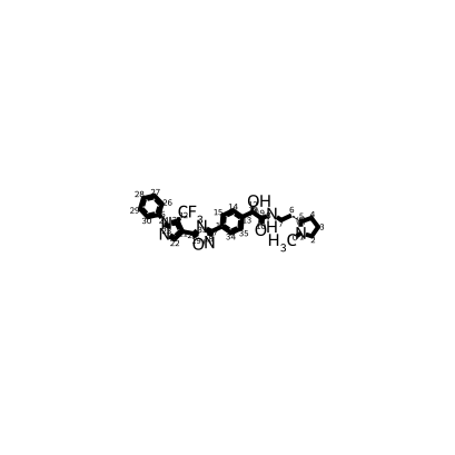 CN1CCC[C@H]1CCNC(=O)[C@H](O)c1ccc(-c2noc(-c3cnn(-c4ccccc4)c3C(F)(F)F)n2)cc1